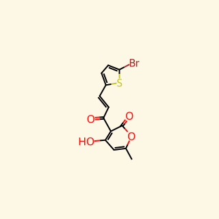 Cc1cc(O)c(C(=O)C=Cc2ccc(Br)s2)c(=O)o1